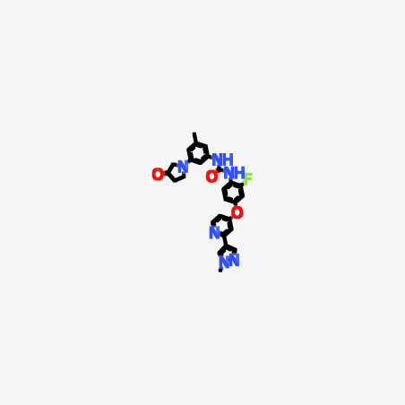 Cc1cc(NC(=O)Nc2ccc(Oc3ccnc(-c4cnn(C)c4)c3)cc2F)cc(N2CCC(=O)C2)c1